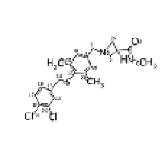 CNC(=O)C1CN(Cc2cc(C)c(SCc3ccc(Cl)c(Cl)c3)c(C)c2)C1